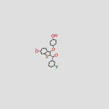 COc1ccc2c(Oc3ccc(O)cc3)c(C(=O)c3cccc(F)c3)sc2c1